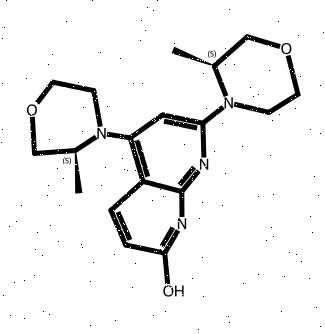 C[C@H]1COCCN1c1cc(N2CCOC[C@@H]2C)c2ccc(O)nc2n1